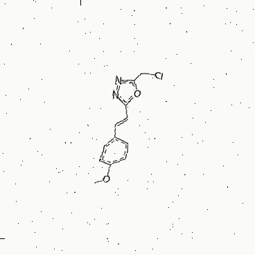 COc1ccc(C=Cc2nnc(CCl)o2)cc1